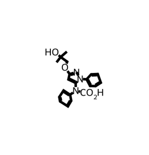 CC(C)(O)COc1cc(N(C(=O)O)c2ccccc2)n(-c2ccccc2)n1